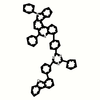 c1ccc(-c2nc(-c3ccc(-c4cccc5c4nc(-c4ccccc4)c4ccc6c(c7ccccc7n6-c6ccccc6)c45)cc3)nc(-c3cccc(-c4cccc5c4oc4ccccc45)c3)n2)cc1